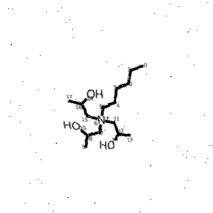 CCCCCC[N+](CC(C)O)(CC(C)O)CC(C)O